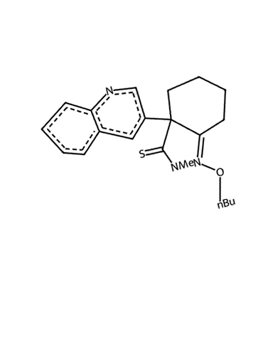 CCCCON=C1CCCCC1(C(=S)NC)c1cnc2ccccc2c1